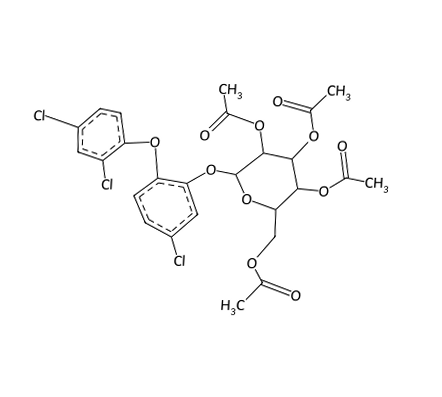 CC(=O)OCC1OC(Oc2cc(Cl)ccc2Oc2ccc(Cl)cc2Cl)C(OC(C)=O)C(OC(C)=O)C1OC(C)=O